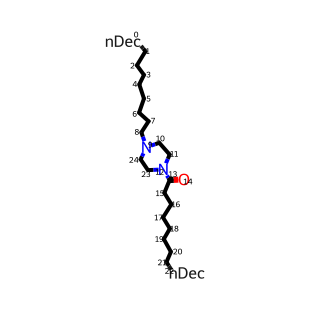 CCCCCCCCCCCCCCCCCCN1CCN(C(=O)CCCCCCCCCCCCCCCCC)CC1